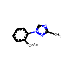 COc1c[c]ccc1-n1cnc(C)n1